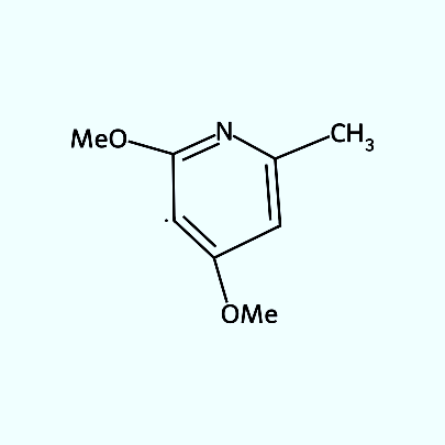 COc1[c]c(OC)nc(C)c1